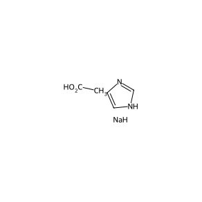 CC(=O)O.[NaH].c1c[nH]cn1